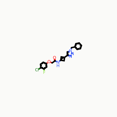 O=C(COc1ccc(Cl)c(F)c1)NC12CC(c3cn(Cc4ccccc4)nn3)(C1)C2